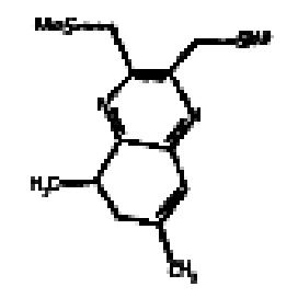 CSCc1nc2c(nc1CSC)C(C)CC(C)=C2